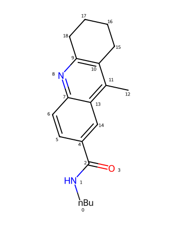 CCCCNC(=O)c1ccc2nc3c(c(C)c2c1)CCCC3